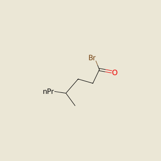 CCCC(C)CCC(=O)Br